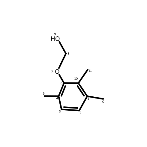 Cc1ccc(C)c(OCO)c1C